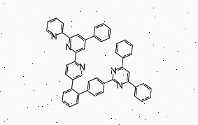 c1ccc(-c2cc(-c3ccccn3)nc(-c3ccc(-c4ccccc4-c4ccc(-c5nc(-c6ccccc6)cc(-c6ccccc6)n5)cc4)cn3)c2)cc1